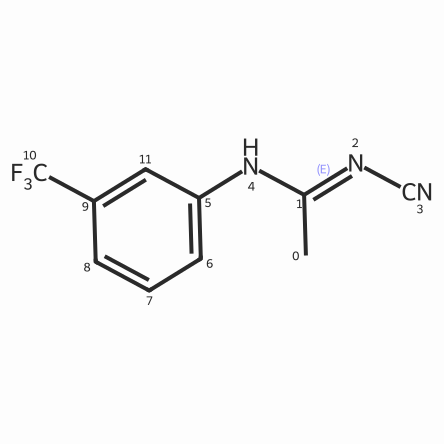 C/C(=N\C#N)Nc1cccc(C(F)(F)F)c1